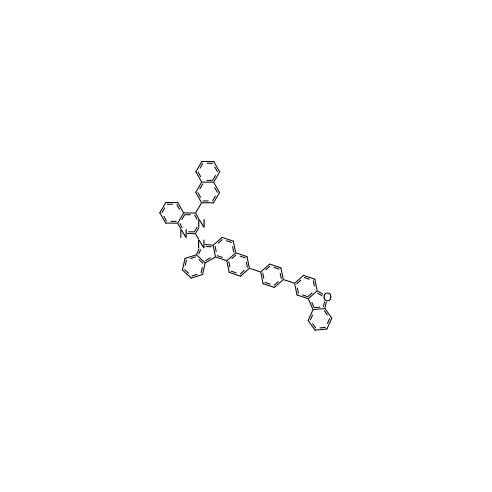 c1ccc2cc(-c3nc(-n4c5ccccc5c5c6ccc(-c7ccc(-c8ccc9oc%10ccccc%10c9c8)cc7)cc6ccc54)nc4ccccc34)ccc2c1